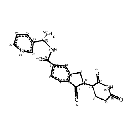 C[C@H](NC(=O)c1ccc2c(c1)CN(C1CCC(=O)NC1=O)C2=O)c1cccnc1